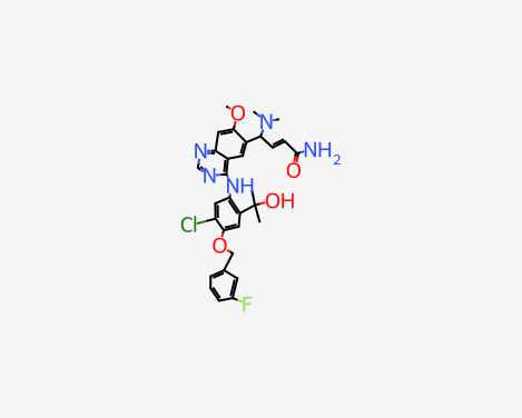 COc1cc2ncnc(Nc3cc(Cl)c(OCc4cccc(F)c4)cc3C(C)(C)O)c2cc1C(C=CC(N)=O)N(C)C